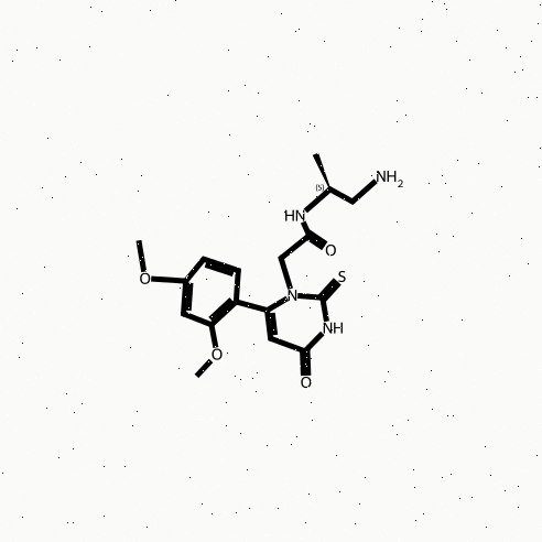 COc1ccc(-c2cc(=O)[nH]c(=S)n2CC(=O)N[C@@H](C)CN)c(OC)c1